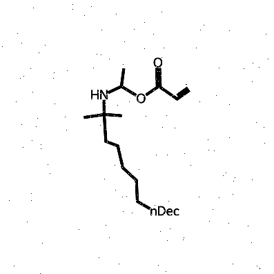 C=CC(=O)OC(C)NC(C)(C)CCCCCCCCCCCCCCC